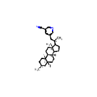 C[C@H]1CC[C@@H]2C3CC[C@@]4(C)C(CCC4[C@H](C)Cc4cncc(C#N)c4)[C@@H]3CC[C@@H]2C1